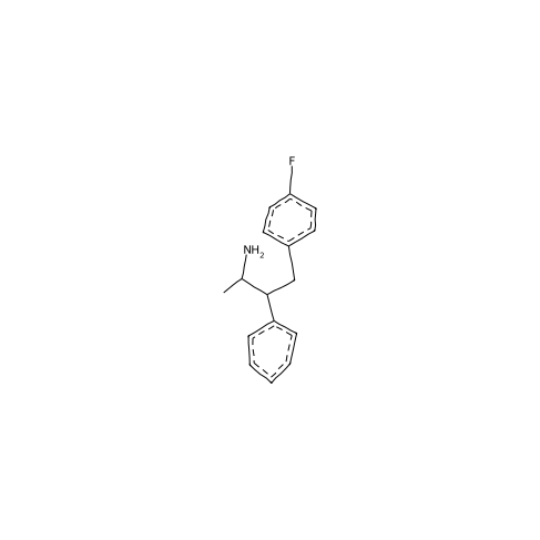 CC(N)C(Cc1ccc(F)cc1)c1ccccc1